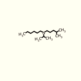 CCCCCCN(CCCC(C)C)C(C)C